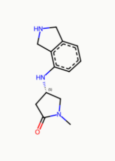 CN1C[C@@H](Nc2cccc3c2CNC3)CC1=O